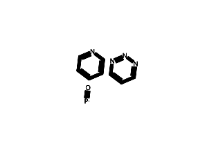 O=[P].c1ccncc1.c1cnnnc1